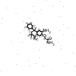 CC(=O)N1c2cc(OCC(N)=O)c(N)cc2C(C)(c2ccccc2)CC1(C)C